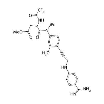 COC(=O)CC(NC(=O)C(F)(F)F)C(=O)N(c1ccc(C#CCNc2ccc(C(=N)N)cc2)c(C)c1)C(C)C